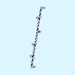 O=C(CSCSCSCC[S+]([O-])CSCSCSCSC(=O)CSCSCSCC(=O)OCCSCCO)OCCSCCO